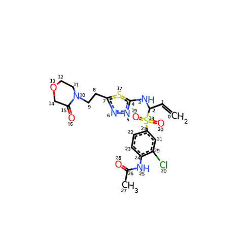 C=CC(Nc1nnc(CCN2CCOCC2=O)s1)S(=O)(=O)c1ccc(NC(C)=O)c(Cl)c1